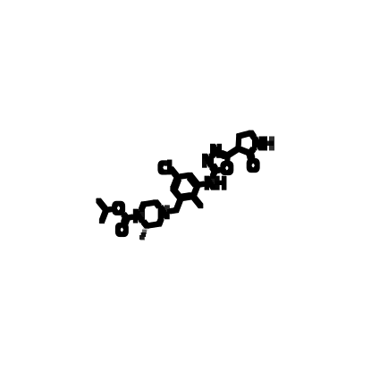 Cc1c(CN2CCN(C(=O)OC(C)C)[C@@H](C)C2)cc(Cl)cc1Nc1nnc(C2CCNC2=O)o1